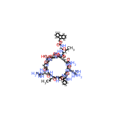 CC=CC[C@H](NC(=O)CNC(=O)OCC1c2ccccc2-c2ccccc21)C(=O)N[C@H]1CCC[C@@H](C(N)=O)NC(=O)[C@H](CCCNC(=N)N)NC(=O)[C@H](Cc2cc3ccccc3[nH]2)NC(=O)[C@H](C)NC(=O)[C@H](CC=CC)NC(=O)[C@H](CCCNC(=N)N)NC(=O)C2CCCN2C(=O)[C@H](CC(=O)O)NC(=O)[C@H](CO)NC1=O